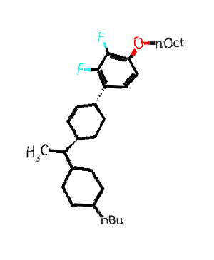 CCCCCCCCOc1ccc([C@H]2CC[C@H](C(C)C3CCC(CCCC)CC3)CC2)c(F)c1F